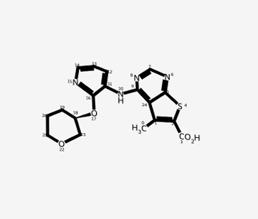 Cc1c(C(=O)O)sc2ncnc(Nc3cccnc3O[C@@H]3CCCOC3)c12